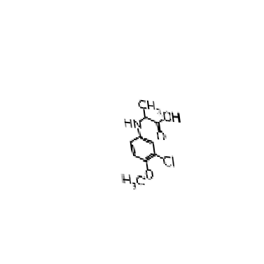 COc1ccc(NC(C)C(=O)O)cc1Cl